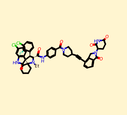 CCN1[C@@H](C(=O)Nc2ccc(C(=O)N3CCC(C#Cc4cccc5c4CN(C4CCC(=O)NC4=O)C5=O)CC3)cc2)[C@H](c2cccc(Cl)c2F)[C@]2(C(=O)Nc3cc(Cl)ccc32)C12CCCCC2